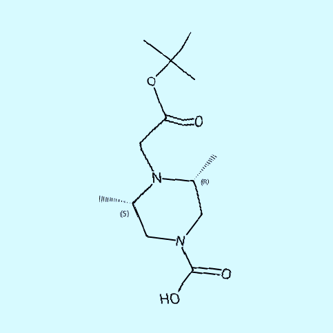 C[C@@H]1CN(C(=O)O)C[C@H](C)N1CC(=O)OC(C)(C)C